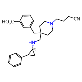 N#CCCCN1CCC(CN[C@@H]2CC2c2ccccc2)(Cc2cccc(C(=O)O)c2)CC1